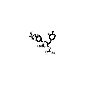 Cc1ccc(CC(COC(=O)C(C)(C)C)CN(C(N)=S)c2ccc(NS(C)(=O)=O)cc2)cc1C